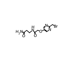 NC(=O)CCNC(=O)COc1cnc(CBr)nc1